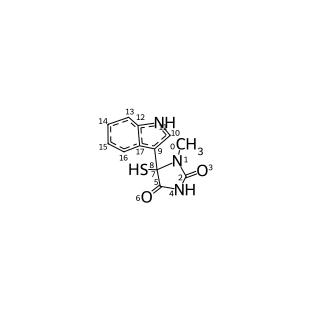 CN1C(=O)NC(=O)C1(S)c1c[nH]c2ccccc12